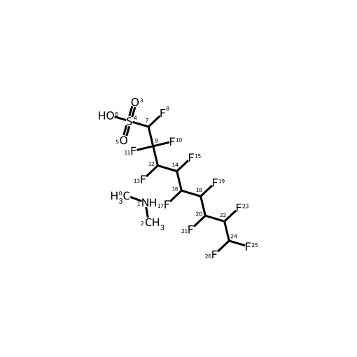 CNC.O=S(=O)(O)C(F)C(F)(F)C(F)C(F)C(F)C(F)C(F)C(F)C(F)F